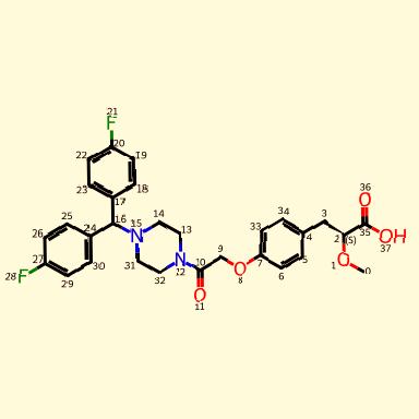 CO[C@@H](Cc1ccc(OCC(=O)N2CCN(C(c3ccc(F)cc3)c3ccc(F)cc3)CC2)cc1)C(=O)O